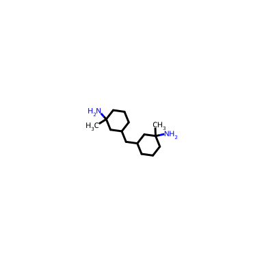 CC1(N)CCCC(CC2CCCC(C)(N)C2)C1